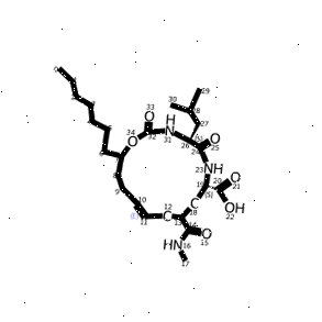 CCCCCCCC1CC/C=C/CC(C(=O)NC)C[C@@H](C(=O)O)NC(=O)[C@H](CC(C)C)NC(=O)O1